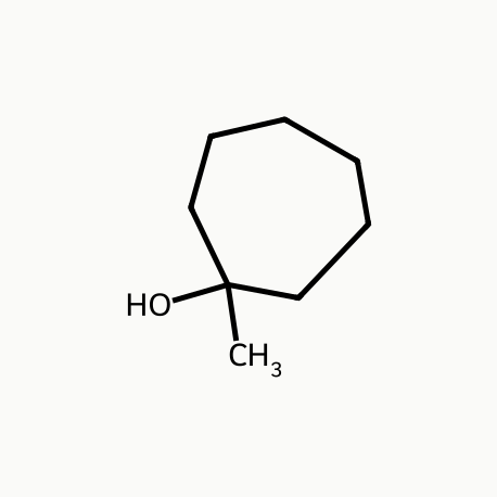 CC1(O)CCCCCC1